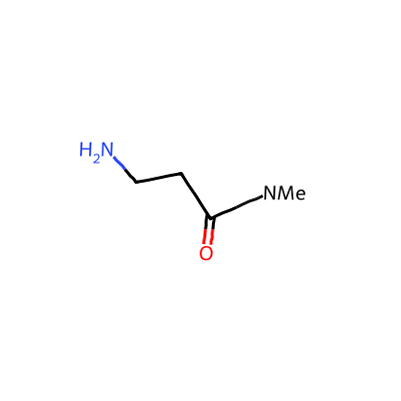 CNC(=O)CCN